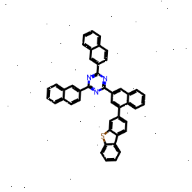 c1ccc2cc(-c3nc(-c4ccc5ccccc5c4)nc(-c4cc(-c5ccc6c(c5)sc5ccccc56)c5ccccc5c4)n3)ccc2c1